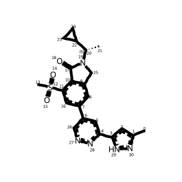 Cc1cc(-c2cc(-c3cc4c(c(S(C)(=O)=O)c3)C(=O)N([C@@H](C)C3CC3)C4)cnn2)[nH]n1